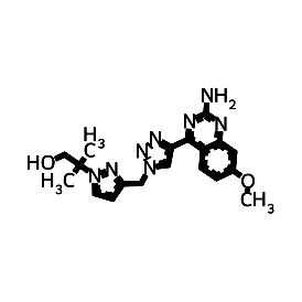 COc1ccc2c(-c3cn(Cc4ccn(C(C)(C)CO)n4)nn3)nc(N)nc2c1